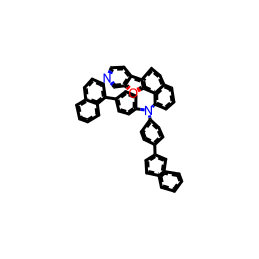 c1ccc2cc(-c3ccc(N(c4ccc(-c5cccc6ccccc56)cc4)c4cccc5ccc6c7ccncc7oc6c45)cc3)ccc2c1